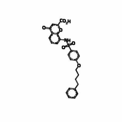 O=C(O)c1cc(=O)c2cccc(NS(=O)(=O)c3ccc(OCCCCc4ccccc4)cc3)c2o1